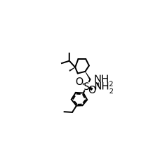 CCc1ccc(S(=O)(=O)C[C@@H]2CCC[C@@](C)(C(C)C)C2)cc1.NN